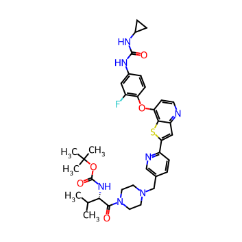 CC(C)[C@H](NC(=O)OC(C)(C)C)C(=O)N1CCN(Cc2ccc(-c3cc4nccc(Oc5ccc(NC(=O)NC6CC6)cc5F)c4s3)nc2)CC1